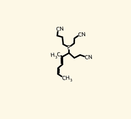 C/C=C\C=C(/C)C(CCC#N)P(CCC#N)CCCC#N